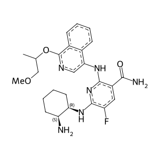 COCC(C)Oc1ncc(Nc2nc(N[C@@H]3CCCC[C@@H]3N)c(F)cc2C(N)=O)c2ccccc12